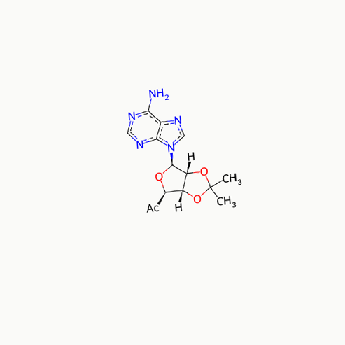 CC(=O)[C@H]1O[C@@H](n2cnc3c(N)ncnc32)[C@@H]2OC(C)(C)O[C@@H]21